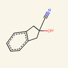 N#CC1(O)Cc2ccccc2C1